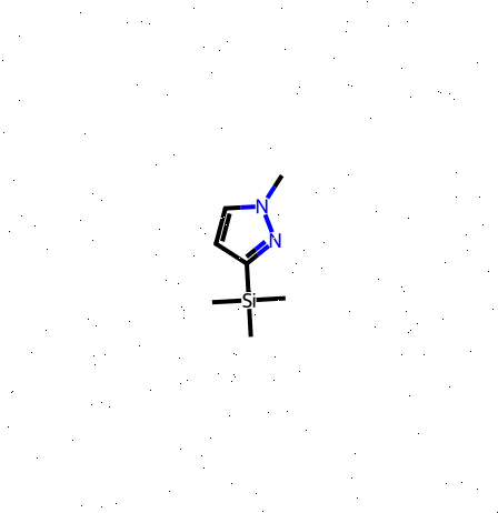 Cn1ccc([Si](C)(C)C)n1